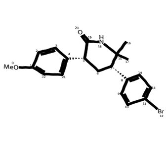 COc1ccc([C@H]2C[C@@H](c3ccc(Br)cc3)C(C)(C)NC2=O)cc1